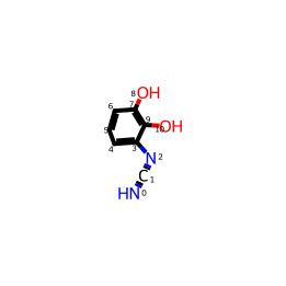 N=C=Nc1cccc(O)c1O